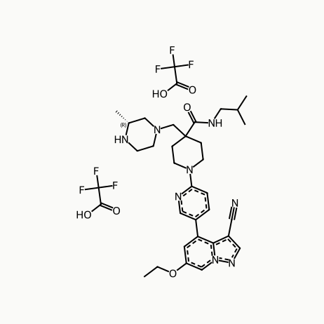 CCOc1cc(-c2ccc(N3CCC(CN4CCN[C@H](C)C4)(C(=O)NCC(C)C)CC3)nc2)c2c(C#N)cnn2c1.O=C(O)C(F)(F)F.O=C(O)C(F)(F)F